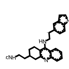 CC(=O)NCCC1CCc2c(nc3ccccc3c2NC[CH]c2ccc3[nH]ccc3c2)C1